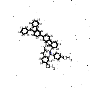 Cc1ccc(/C=N/N(Cc2ccc(C)cc2)Cn2c3ccccc3c3ccc(-c4ccc5c(c4)c4ccccc4n5-c4ccccc4)cc32)cc1